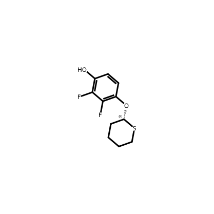 Oc1ccc(O[C@H]2CCCCS2)c(F)c1F